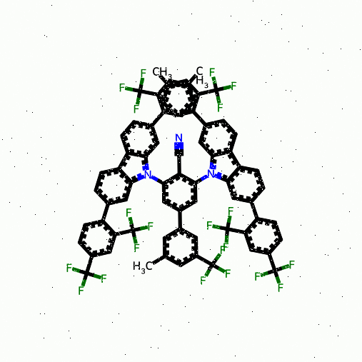 Cc1cc(-c2cc(-n3c4cc(-c5ccc(C)cc5C(F)(F)F)ccc4c4ccc(-c5ccc(C(F)(F)F)cc5C(F)(F)F)cc43)c(C#N)c(-n3c4cc(-c5ccc(C)cc5C(F)(F)F)ccc4c4ccc(-c5ccc(C(F)(F)F)cc5C(F)(F)F)cc43)c2)cc(C(F)(F)F)c1